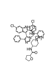 C[C@@H](c1ccc(Cl)cc1)n1cnc(-c2ccccc2)c1-c1c(C(=O)Nc2cccnc2N2CCC(NC(=O)C3CCCO3)CC2)[nH]c2cc(Cl)ccc12